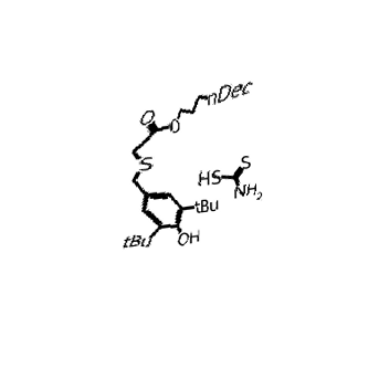 CCCCCCCCCCCCCOC(=O)CSCc1cc(C(C)(C)C)c(O)c(C(C)(C)C)c1.NC(=S)S